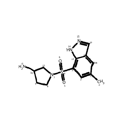 Cc1cc(S(=O)(=O)N2CCC(N)C2)c2[nH]ncc2c1